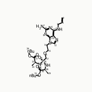 C=CCNc1nc(N)nc2c1ncn2CCOCP(=O)(N[C@@H](C)C(=O)OCCCC)N[C@@H](C)C(=O)OCCCC